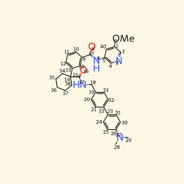 COc1cncc(NC(=O)c2cccc(C3(C(=O)NCc4ccc(-c5ccc(N(C)C)cc5)cc4)CCCCC3)c2)c1